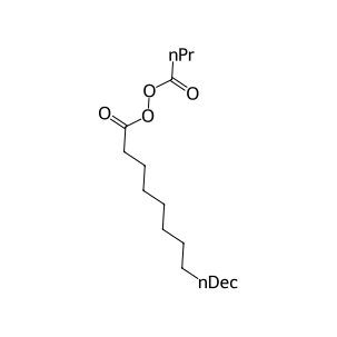 CCCCCCCCCCCCCCCCCC(=O)OOC(=O)CCC